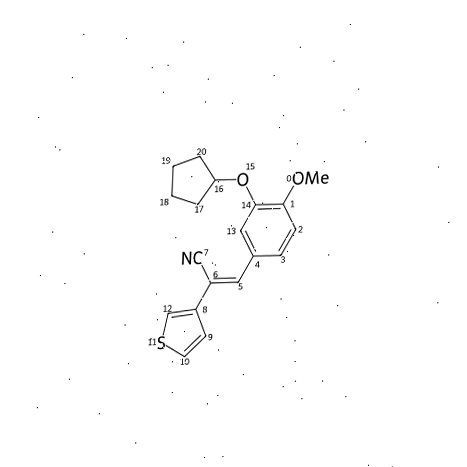 COc1ccc(/C=C(\C#N)c2ccsc2)cc1OC1CCCC1